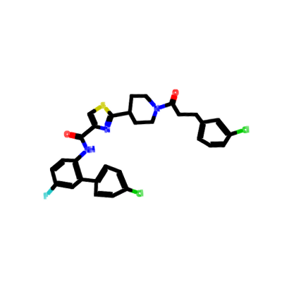 O=C(Nc1ccc(F)cc1-c1ccc(Cl)cc1)c1csc(C2CCN(C(=O)CCc3cccc(Cl)c3)CC2)n1